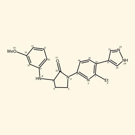 CCc1nc(N2CCC(Nc3cccc(OC)c3)C2=O)ccc1-c1cn[nH]c1